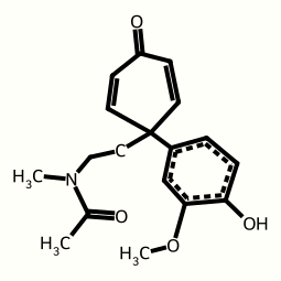 COc1cc(C2(CCN(C)C(C)=O)C=CC(=O)C=C2)ccc1O